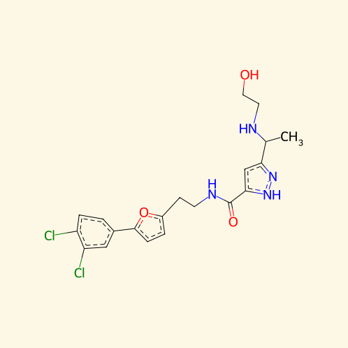 CC(NCCO)c1cc(C(=O)NCCc2ccc(-c3ccc(Cl)c(Cl)c3)o2)[nH]n1